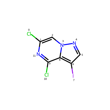 Clc1cn2ncc(I)c2c(Cl)n1